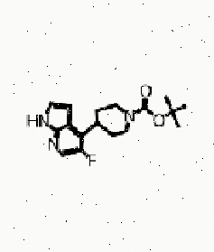 CC(C)(C)OC(=O)N1CCC(c2c(F)cnc3[nH]ccc23)CC1